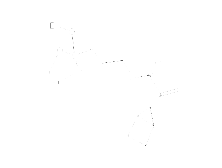 C=C(C(=O)OCCC[Si](OCC)(OCC)OCC)C1C2CCC21